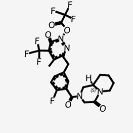 Cc1c(Cc2ccc(F)c(C(=O)N3CC(=O)N4CCCC[C@H]4C3)c2)nn(OC(=O)C(F)(F)F)c(=O)c1C(F)(F)F